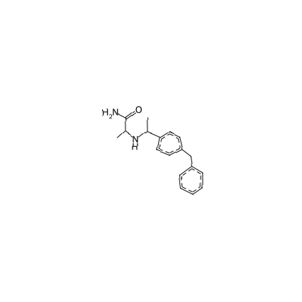 CC(NC(C)c1ccc(Cc2ccccc2)cc1)C(N)=O